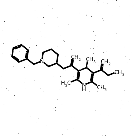 C=C(CC)C1=C(C)NC(C)=C(C(=C)CC2CCCN(Cc3ccccc3)C2)C1C